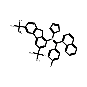 CC(C)(C)c1ccc2c(c1)-c1cc(C(C)(C)C)c[c](/[Zr]([C]3=CC=CC3)=[C](\c3ccc(Cl)cc3)c3cccc4ccccc34)c1C2